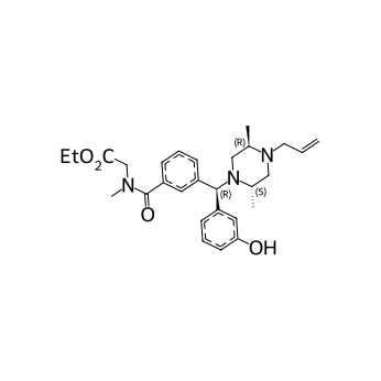 C=CCN1C[C@H](C)N([C@@H](c2cccc(O)c2)c2cccc(C(=O)N(C)CC(=O)OCC)c2)C[C@H]1C